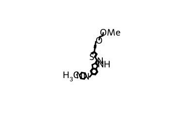 COCCOCC#Cc1csc(-c2n[nH]c3c2Cc2cc(CN4CCN(C)CC4)ccc2-3)c1